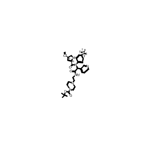 CO[C@H]1CN[C@@H](C(=O)N(c2ccc(S(F)(F)(F)(F)F)cc2)C(C(=O)NCCN2CCN(C(=O)OC(C)(C)C)CC2)c2cccnc2)C1